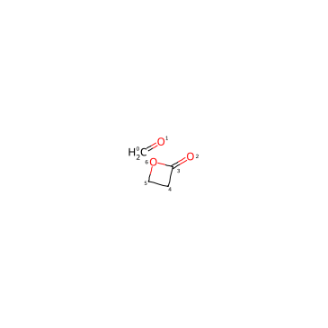 C=O.O=C1CCO1